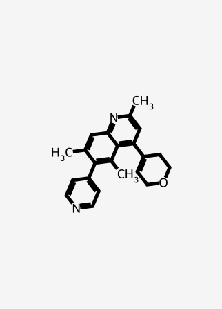 Cc1cc(C2=CCOCC2)c2c(C)c(-c3ccncc3)c(C)cc2n1